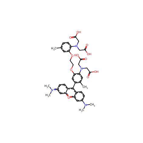 Cc1ccc(N(CC(=O)O)CC(=O)O)c(OCCOc2cc(-c3c4ccc(=[N+](C)C)cc-4oc4cc(N(C)C)ccc34)c(C)cc2N(CC(=O)O)CC(=O)O)c1